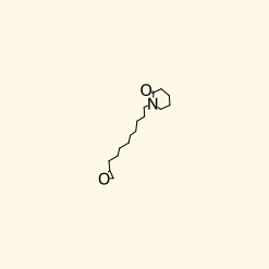 O=C1CCCCN1CCCCCCCCCC1CO1